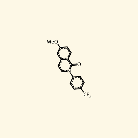 COc1ccc2c(=O)n(-c3ccc(C(F)(F)F)cc3)ccc2c1